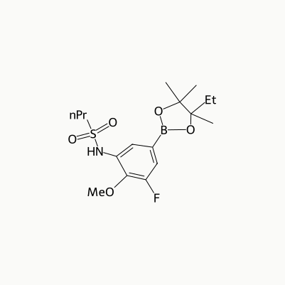 CCCS(=O)(=O)Nc1cc(B2OC(C)(C)C(C)(CC)O2)cc(F)c1OC